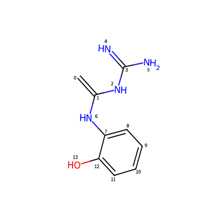 C=C(NC(=N)N)Nc1ccccc1O